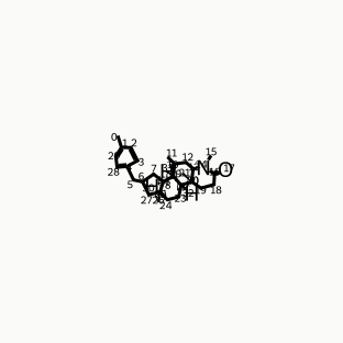 Cc1ccc(CC2C[C@H]3[C@@H]4C(C)CC5N(C)C(=O)CC[C@]5(C)[C@@H]4CC[C@]3(C)C2)cc1